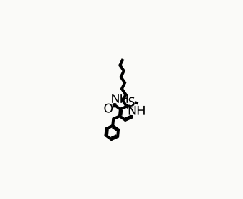 CCCCCCCCC1(SC)NC=CC(Cc2ccccc2)=C1C(N)=O